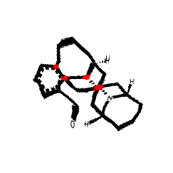 CN(c1ccccc1C=O)[C@H]1C[C@H]2CCC[C@@H](C1)N2[C@H]1C[C@@H]2CCC[C@@H](C2)C1